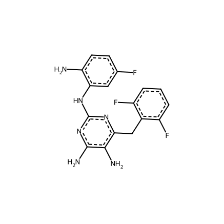 Nc1ccc(F)cc1Nc1nc(N)c(N)c(Cc2c(F)cccc2F)n1